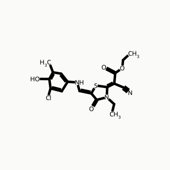 CCOC(=O)C(C#N)=c1sc(=CNc2cc(C)c(O)c(Cl)c2)c(=O)n1CC